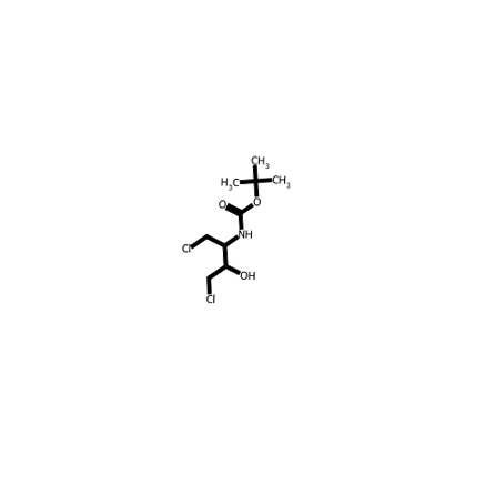 CC(C)(C)OC(=O)NC(CCl)C(O)CCl